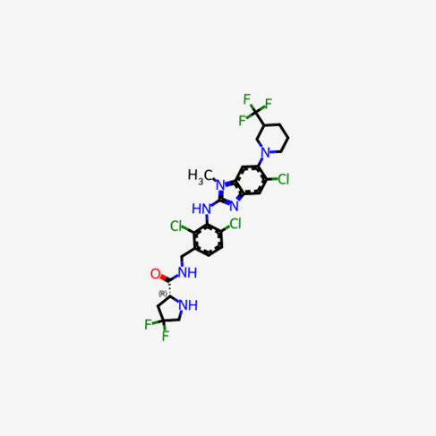 Cn1c(Nc2c(Cl)ccc(CNC(=O)[C@H]3CC(F)(F)CN3)c2Cl)nc2cc(Cl)c(N3CCCC(C(F)(F)F)C3)cc21